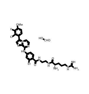 CCc1cc(Nc2nccn3c(-c4ccc(OC)c(F)c4Cl)cnc23)ccc1C(=O)NCCNC(=O)[C@@H](N)CCCNC(=N)N.O=CO